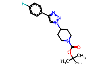 CC(C)(C)OC(=O)N1CCC(n2cc(-c3ccc(F)cc3)nn2)CC1